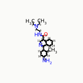 CCN(CC)CCNC(=O)c1cnc(-c2ccc(N)cc2C)c2ccccc12